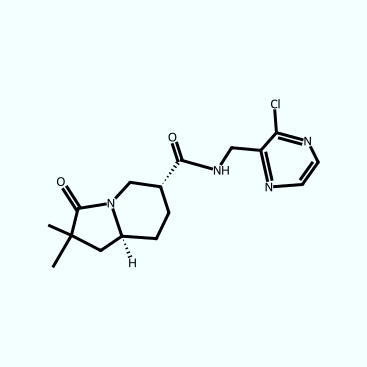 CC1(C)C[C@@H]2CC[C@@H](C(=O)NCc3nccnc3Cl)CN2C1=O